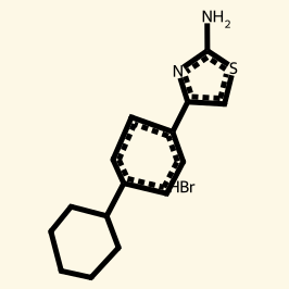 Br.Nc1nc(-c2ccc(C3CCCCC3)cc2)cs1